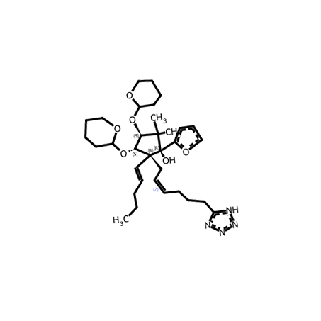 CCCC=C[C@]1(C/C=C\CCCc2nnn[nH]2)[C@H](OC2CCCCO2)[C@@H](OC2CCCCO2)C(C)(C)[C@]1(O)c1ccco1